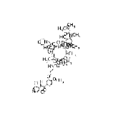 CC[C@H]1OC(=O)[C@H](C)[C@@H](OC(=O)CN2CCOCC2)[C@H](C)[C@@H](O[C@@H]2O[C@H](C)C[C@H](N(C)C(=O)CN(C)C)[C@H]2O)[C@](C)(OC)C[C@@H](C)C(=O)[C@H](C)[C@@H](C)[C@]1(C)OC(=O)NCCCOc1cc(C(=O)Nc2c(Cl)cncc2Cl)ccc1OC